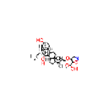 CC[C@H]1[C@@H](O)[C@@H]2[C@H](CC[C@]3(C)[C@@H]([C@H](C)CCOc4cnoc4C(=O)O)CC[C@@H]23)[C@@]2(C)CC[C@@H](O)C[C@@H]12